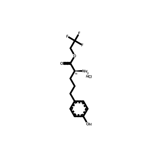 Cl.N[C@@H](CCCc1ccc(O)cc1)C(=O)OCC(F)(F)F